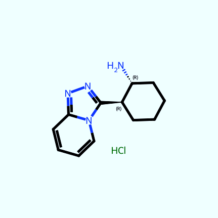 Cl.N[C@@H]1CCCC[C@H]1c1nnc2ccccn12